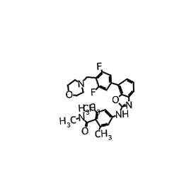 Cc1cc(Nc2nc3cccc(-c4cc(F)c(CN5CCOCC5)c(F)c4)c3o2)cc(C)c1C(=O)N(C)C